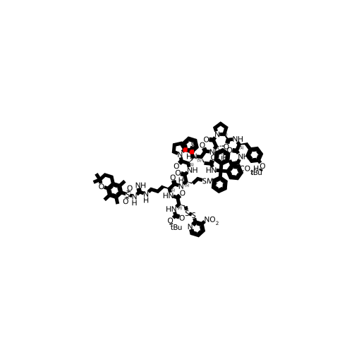 CSCC[C@H](NC(=O)[C@H](CCCNC(=N)NS(=O)(=O)c1c(C)c(C)c2c(c1C)CCC(C)(C)O2)NC(=O)[C@H](CSSc1ncccc1[N+](=O)[O-])NC(=O)OC(C)(C)C)C(=O)N[C@@H](Cc1ccccc1)C(=O)N1CCC[C@H]1C(=O)N[C@@H](CC(=O)NC(c1ccccc1)(c1ccccc1)c1ccccc1)C(=O)N[C@@H](C)C(=O)N1CCC[C@H]1C(=O)N[C@@H](Cc1ccc(OC(C)(C)C)cc1)C(=O)N[C@@H](CC(C)C)C(=O)O